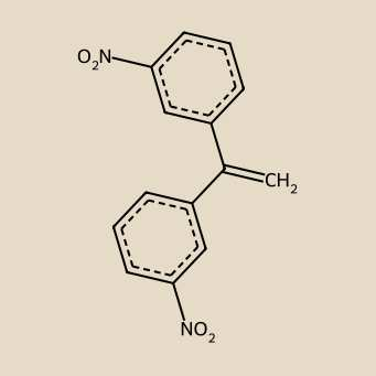 C=C(c1cccc([N+](=O)[O-])c1)c1cccc([N+](=O)[O-])c1